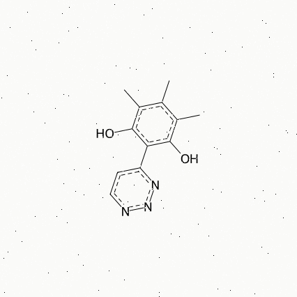 Cc1c(C)c(O)c(-c2ccnnn2)c(O)c1C